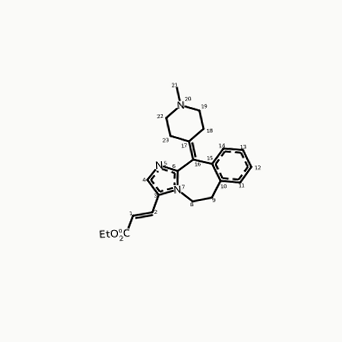 CCOC(=O)C=Cc1cnc2n1CCc1ccccc1C2=C1CCN(C)CC1